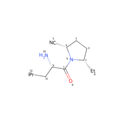 CC[C@H]1CC[C@@H](C#N)N1C(=O)[C@@H](N)CC(C)C